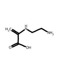 C=C(NCCN)C(=O)O